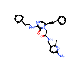 Cc1nc(N)ccc1CNC(=O)Cn1c(C#Cc2ccccc2)cnc(NCCc2ccccc2)c1=O